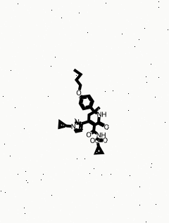 CCCCOc1ccc(C2(C)CC(c3ccn(C4CC4)n3)=C(C(=O)NS(=O)(=O)C3CC3)C(=O)N2)cc1